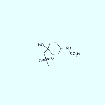 CS(=O)(=O)CC1(O)CCC(NC(=O)O)CC1